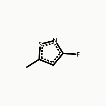 Cc1cc(F)ns1